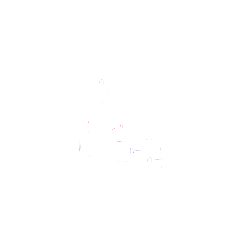 COCCCC[C@@](O)(c1cccc2ccoc12)C1CCCN(C(=O)OC(C)(C)C)C1